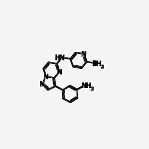 Bc1ccc(Nc2ccn3ncc(-c4cccc(N)c4)c3n2)cn1